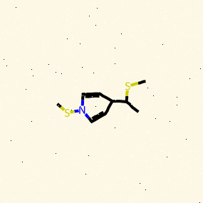 CSC(C)C1C=CN(SC)C=C1